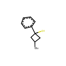 CC(C)(C)C1CC(S)(c2ccccc2)C1